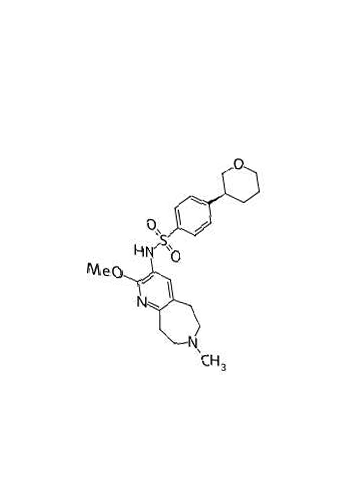 COc1nc2c(cc1NS(=O)(=O)c1ccc([C@@H]3CCCOC3)cc1)CCN(C)CC2